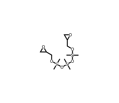 C[Si](C)(OCC1CO1)O[Si](C)(C)O[Si](C)(C)OCC1CO1